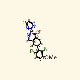 COc1ccc(F)c(C2CCc3c(cnn(-c4ncccn4)c3=O)C2)c1F